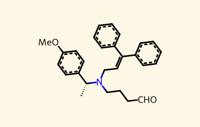 COc1ccc([C@@H](C)N(CC=C(c2ccccc2)c2ccccc2)CCCC=O)cc1